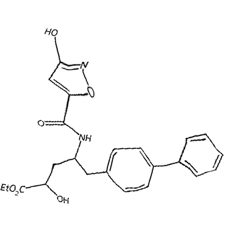 CCOC(=O)C(O)CC(Cc1ccc(-c2ccccc2)cc1)NC(=O)c1cc(O)no1